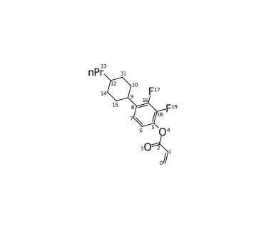 C=CC(=O)Oc1ccc(C2CCC(CCC)CC2)c(F)c1F